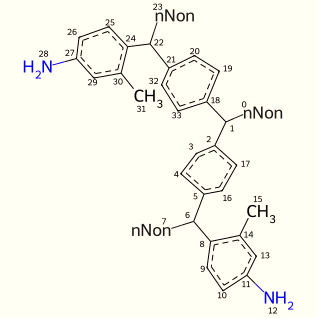 CCCCCCCCCC(c1ccc(C(CCCCCCCCC)c2ccc(N)cc2C)cc1)c1ccc(C(CCCCCCCCC)c2ccc(N)cc2C)cc1